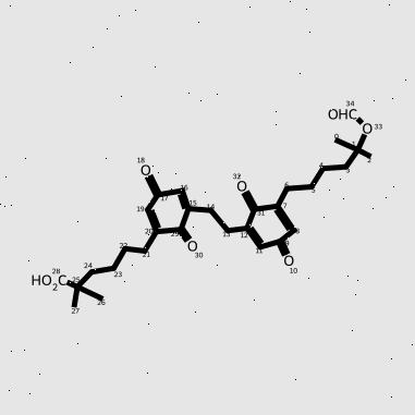 CC(C)(CCCCC1=CC(=O)C=C(CCC2=CC(=O)C=C(CCCCC(C)(C)C(=O)O)C2=O)C1=O)OC=O